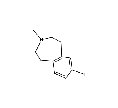 CN1CCc2ccc(I)cc2CC1